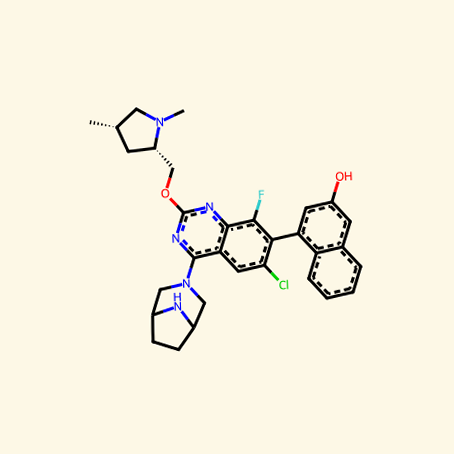 C[C@H]1C[C@@H](COc2nc(N3CC4CCC(C3)N4)c3cc(Cl)c(-c4cc(O)cc5ccccc45)c(F)c3n2)N(C)C1